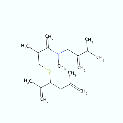 C=C(C)CC(SCC(C)C(=C)N(C)CC(=C)C(C)C)C(=C)C